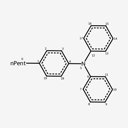 CCCCCc1ccc(N(c2ccccc2)c2ccccc2)cc1